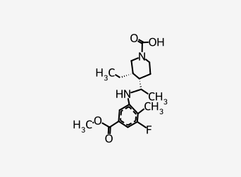 CC[C@@H]1CN(C(=O)O)CC[C@@H]1C(C)Nc1cc(C(=O)OC)cc(F)c1C